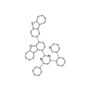 c1ccc(-c2cc(-c3ccccc3-c3cccnc3)nc(-c3ccc(-c4ccc5sc6ccccc6c5c4)c4oc5ccccc5c34)n2)cc1